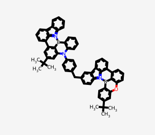 CC(C)(C)c1ccc2c(c1)Oc1cccc3c1B2n1c2ccc(Cc4ccc(N5c6ccccc6B6c7c(cc(C(C)(C)C)cc75)-c5cccc7c8ccccc8n6c57)cc4)cc2c2cccc-3c21